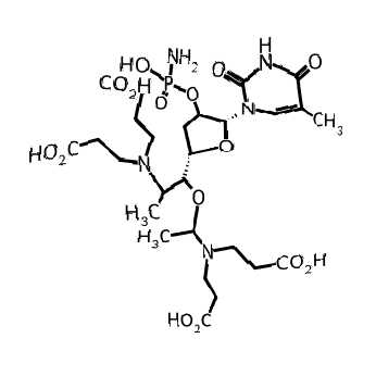 Cc1cn([C@@H]2O[C@H](C(OC(C)N(CCC(=O)O)CCC(=O)O)C(C)N(CCC(=O)O)CCC(=O)O)CC2OP(N)(=O)O)c(=O)[nH]c1=O